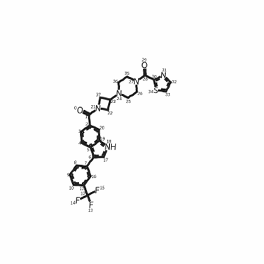 O=C(c1ccc2c(-c3cccc(C(F)(F)F)c3)c[nH]c2c1)N1CC(N2CCN(C(=O)c3nccs3)CC2)C1